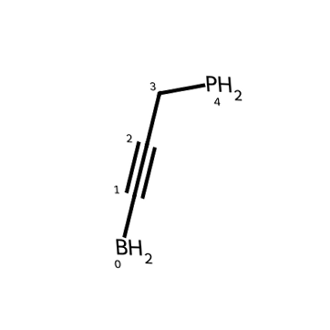 BC#CCP